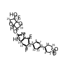 O=S1(=O)CC=C(c2ccc(-c3c(F)cc4[nH]c(O[C@@H]5CO[C@]6(F)[C@H](O)CO[C@H]56)nc4c3F)cc2)CC1